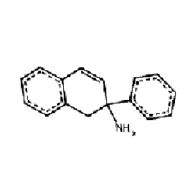 NC1(c2ccccc2)C=Cc2ccccc2C1